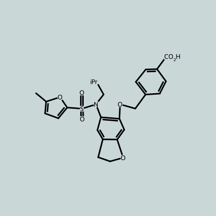 Cc1ccc(S(=O)(=O)N(CC(C)C)c2cc3c(cc2OCc2ccc(C(=O)O)cc2)OCC3)o1